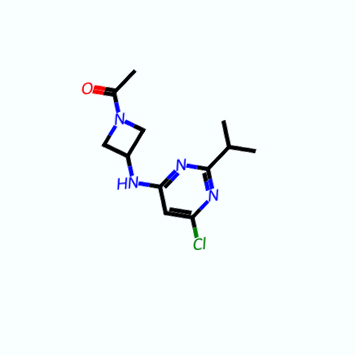 CC(=O)N1CC(Nc2cc(Cl)nc(C(C)C)n2)C1